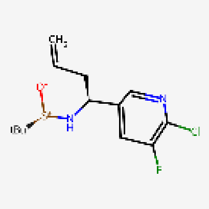 C=CC[C@H](N[S@+]([O-])C(C)(C)C)c1cnc(Cl)c(F)c1